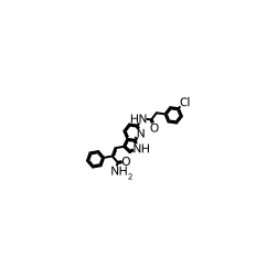 NC(=O)C(=Cc1c[nH]c2nc(NC(=O)Cc3cccc(Cl)c3)ccc12)c1ccccc1